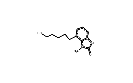 Cn1c(=O)[nH]c2cccc(CCCCCO)c21